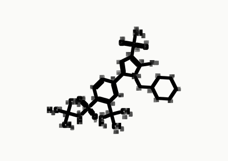 CC(C)(C)NS(=O)(=O)c1ccc(-c2cc(S(N)(=O)=O)c(F)n2CC2CCCCC2)cc1C(C)(C)C